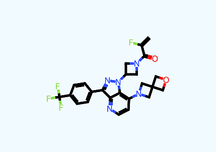 C=C(F)C(=O)N1CC(n2nc(-c3ccc(C(F)(F)F)cc3)c3nccc(N4CC5(COC5)C4)c32)C1